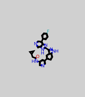 O=C(CC1CC1)Nc1cncc(-c2ccc3[nH]nc(-c4nc5c(-c6ccc(F)cc6)cncc5[nH]4)c3c2)c1